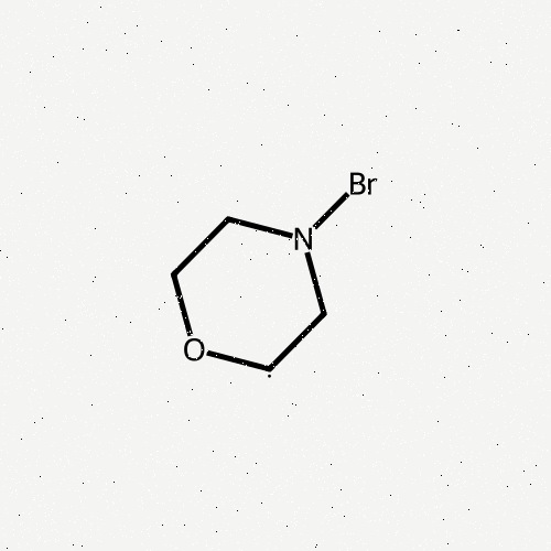 BrN1C[CH]OCC1